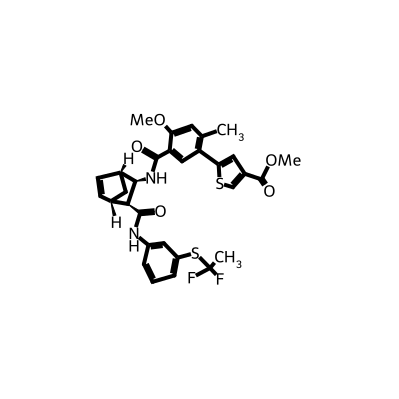 COC(=O)c1csc(-c2cc(C(=O)N[C@H]3[C@@H](C(=O)Nc4cccc(SC(C)(F)F)c4)[C@@H]4C=C[C@H]3C4)c(OC)cc2C)c1